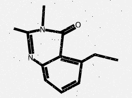 CCc1cccc2nc(C)n(C)c(=O)c12